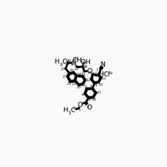 CCOC(=O)c1ccc(-c2ccc(C#N)c(OC[C@H](O)CN(C)C(C)Cc3ccc4ccccc4c3)c2)cc1.Cl